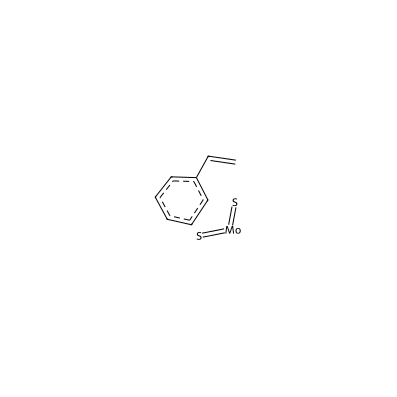 C=Cc1ccccc1.[S]=[Mo]=[S]